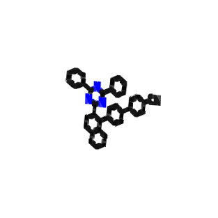 N#Cc1ccc(-c2ccc(-c3c(-c4nc(-c5ccccc5)nc(-c5ccccc5)n4)ccc4ccccc34)cc2)cc1